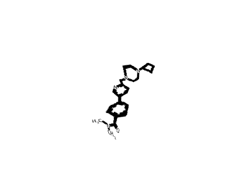 CN(C)C(=O)c1ccc(-c2ccc(CN3CCN(C4CCC4)CC3)nc2)cc1